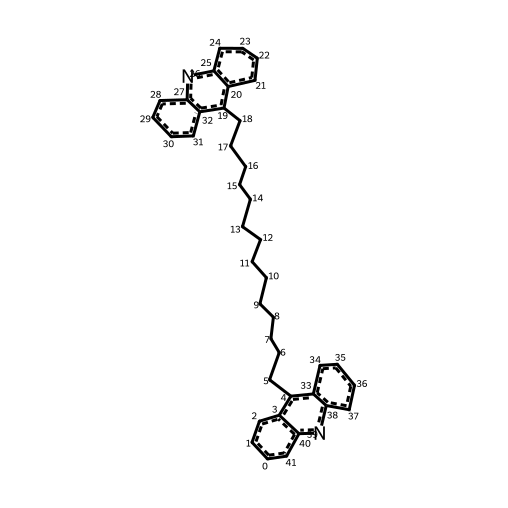 c1ccc2c(CCCCCCCCCCCCCCc3c4ccccc4nc4ccccc34)c3ccccc3nc2c1